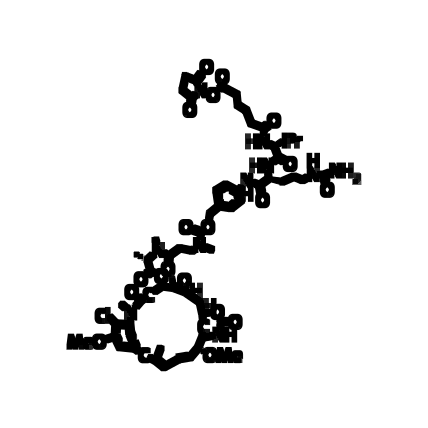 COc1cc2cc(c1Cl)N(C)C(=O)C[C@H](OC(=O)[C@H](C)N(C)C(=O)CCN(C)C(=O)OCc1ccc(NC(=O)[C@H](CCCNC(N)=O)NC(=O)[C@@H](NC(=O)CCCCC(=O)ON3C(=O)CCC3=O)C(C)C)cc1)[C@]1(C)O[C@H]1C[C@@H]1CC(NC(=O)O1)[C@H](OC)/C=C/C=C(\C)C2